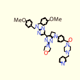 COc1ccc(CN(Cc2ccc(OC)cc2)c2ncc(-c3nc(N4CCOCC4)nc4c3CCN4c3ccc(C(=O)N4CCN(Cc5cccnc5)CC4)cc3)cn2)cc1